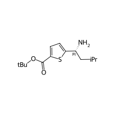 CC(C)C[C@@H](N)c1ccc(C(=O)OC(C)(C)C)s1